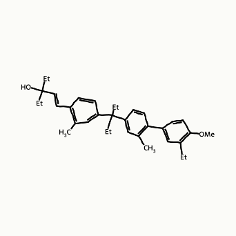 CCc1cc(-c2ccc(C(CC)(CC)c3ccc(/C=C/C(O)(CC)CC)c(C)c3)cc2C)ccc1OC